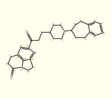 O=C(CCC1CCN(C2CCc3ccccc3CC2)CC1)c1cc2c3c(c1)CCN3C(=O)CC2